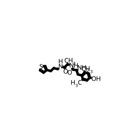 Cc1cc(O)cc(C)c1CC(N)C(=O)N[C@H](C)C(=O)NCCCc1ccsc1